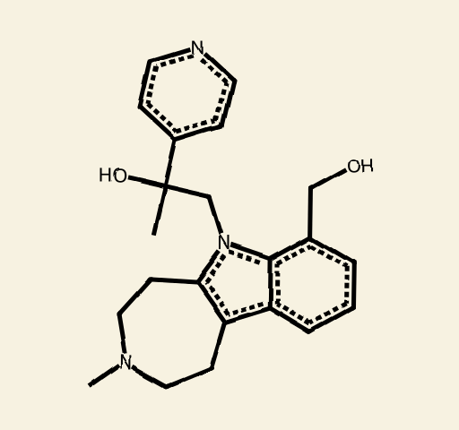 CN1CCc2c(n(CC(C)(O)c3ccncc3)c3c(CO)cccc23)CC1